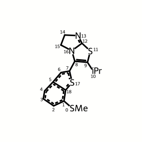 CSc1cccc2cc(C3=C(C(C)C)SC4=NCCN43)sc12